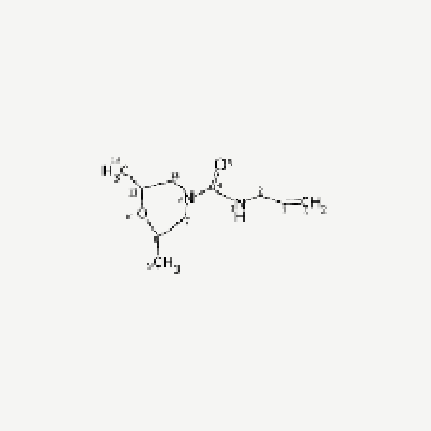 C=CCNC(=O)N1CC(C)OC(C)C1